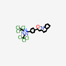 CN1C(=CC(=O)c2ccc(-c3nc(C(Cl)(Cl)Cl)nc(C(Cl)(Cl)Cl)n3)cc2)C=Cc2ccccc21